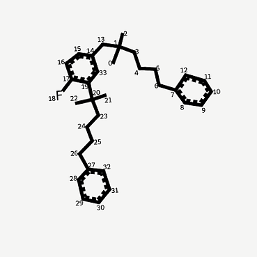 CC(C)(CCCCc1ccccc1)Cc1ccc(F)c(C(C)(C)CCCCc2ccccc2)c1